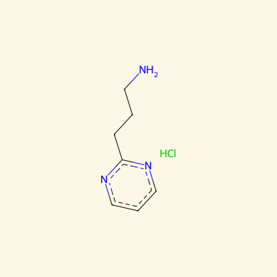 Cl.NCCCc1ncccn1